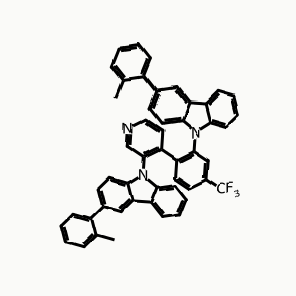 Cc1ccccc1-c1ccc2c(c1)c1ccccc1n2-c1cnccc1-c1ccc(C(F)(F)F)cc1-n1c2ccccc2c2cc(-c3ccccc3C)ccc21